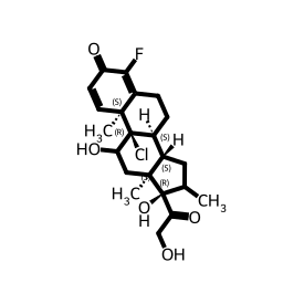 CC1C[C@H]2[C@@H]3CCC4=C(F)C(=O)C=C[C@]4(C)[C@@]3(Cl)C(O)C[C@]2(C)[C@@]1(O)C(=O)CO